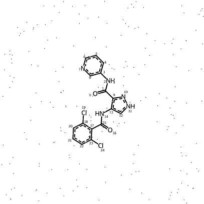 O=C(Nc1cccnc1)c1n[nH]cc1NC(=O)c1c(Cl)cccc1Cl